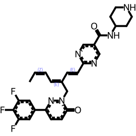 C\C=C/C=C(\C=C\c1ncc(C(=O)NC2CCNCC2)cn1)Cn1nc(-c2cc(F)c(F)c(F)c2)ccc1=O